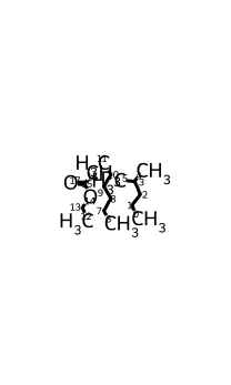 CCCC(C)C.CCCCCC.CCOC(C)=O